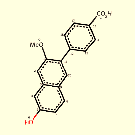 COc1cc2cc(O)ccc2cc1-c1ccc(C(=O)O)cc1